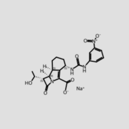 CC(O)[C@H]1C(=O)N2C(C(=O)[O-])=C3[C@@H](NC(=O)Nc4cccc([N+](=O)[O-])c4)CCC[C@@H]3[C@H]12.[Na+]